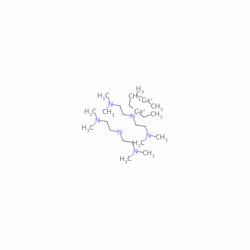 CN(C)CC[N-]CCN(C)C.CN(C)CC[N-]CCN(C)C.C[CH2][Ga+][CH2]C.[CH3][Ga+][CH3]